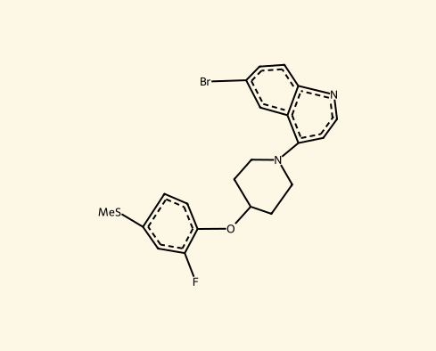 CSc1ccc(OC2CCN(c3ccnc4ccc(Br)cc34)CC2)c(F)c1